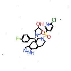 O=S(=O)(c1ccc(Cl)nc1)N1CCC2=Cc3[nH]ncc3CC2([C@H](c2ccc(F)cc2)N2CCC(O)C2)C1